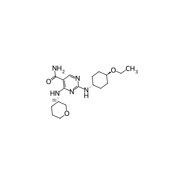 CCO[C@H]1CC[C@H](Nc2ncc(C(N)=O)c(N[C@H]3CCCOC3)n2)CC1